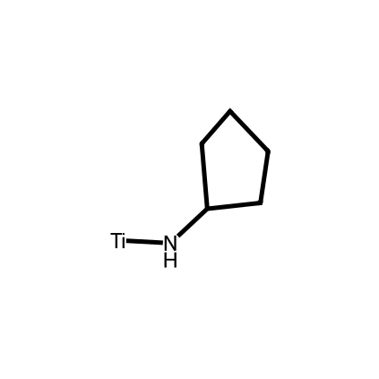 [Ti][NH]C1CCCC1